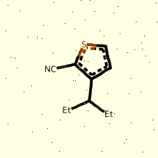 CCC(CC)c1ccsc1C#N